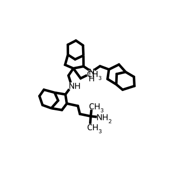 CCC1(CNC2C3CCCC(C3)CC2CCC(C)(C)N)CC2CCCC(C2)C1NCC1CC2CCCC(C2)C1